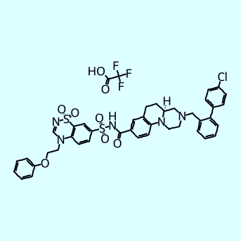 O=C(NS(=O)(=O)c1ccc2c(c1)S(=O)(=O)N=CN2CCOc1ccccc1)c1ccc2c(c1)CC[C@H]1CN(Cc3ccccc3-c3ccc(Cl)cc3)CCN21.O=C(O)C(F)(F)F